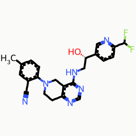 Cc1ccc(N2CCc3ncnc(NC[C@H](O)c4ccc(C(F)F)nc4)c3C2)c(C#N)c1